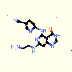 N#Cc1ccc(Nc2nc(NCCN)cc3nc[nH]c(=O)c23)nc1